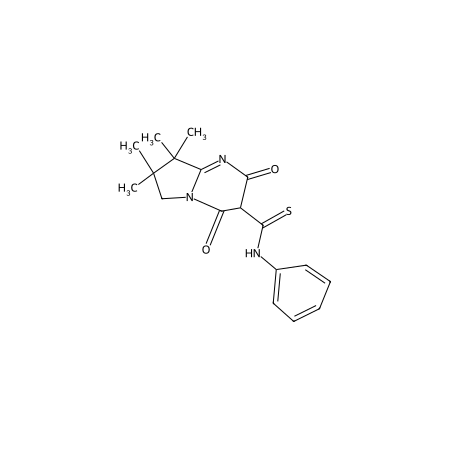 CC1(C)CN2C(=O)C(C(=S)Nc3ccccc3)C(=O)N=C2C1(C)C